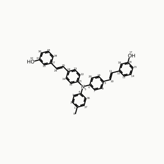 Cc1ccc(N(c2ccc(/C=C/c3cccc(O)c3)cc2)c2ccc(/C=C/c3cccc(O)c3)cc2)cc1